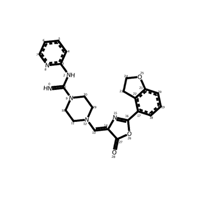 N=C(Nc1ccccn1)N1CCN(C=C2N=C(c3cccc4c3CCO4)OC2=O)CC1